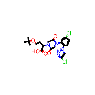 CC(C)(C)OCCC(C(=O)O)N1CC(=O)N(c2cc(Cl)ccc2-n2cc(Cl)nn2)CC1=O